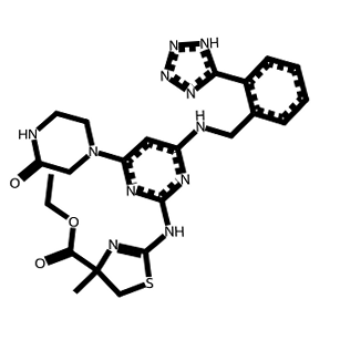 CCOC(=O)C1(C)CSC(Nc2nc(NCc3ccccc3-c3nnn[nH]3)cc(N3CCNC(=O)C3)n2)=N1